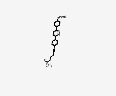 CCCCCc1ccc(-c2ccc(-c3ccc(C#CCCCC(C)F)cc3)nn2)cc1